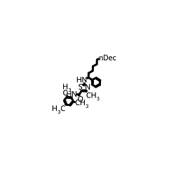 CCCCCCCCCCCCCCCC(Nc1nc(C)c(C(=O)Nc2c(C)cc(C)cc2C)s1)c1ccccc1